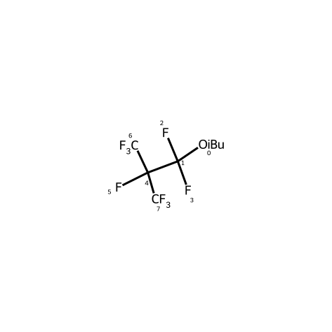 CC(C)COC(F)(F)C(F)(C(F)(F)F)C(F)(F)F